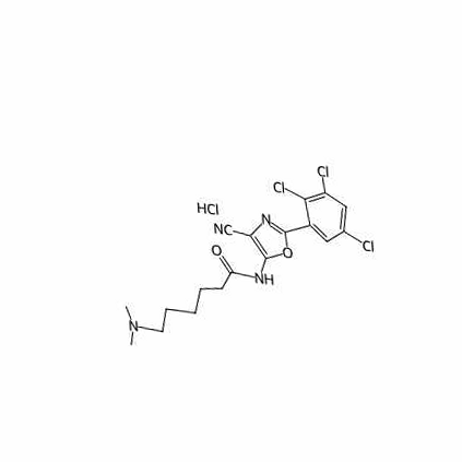 CN(C)CCCCCC(=O)Nc1oc(-c2cc(Cl)cc(Cl)c2Cl)nc1C#N.Cl